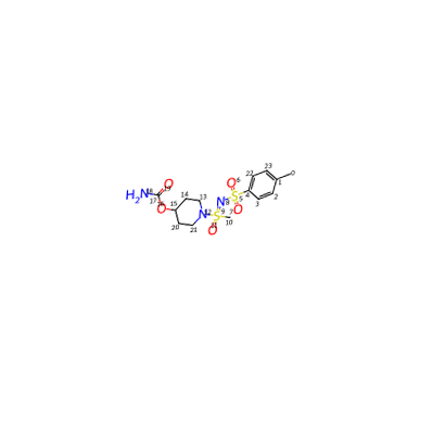 Cc1ccc(S(=O)(=O)N=S(C)(=O)N2CCC(OC(N)=O)CC2)cc1